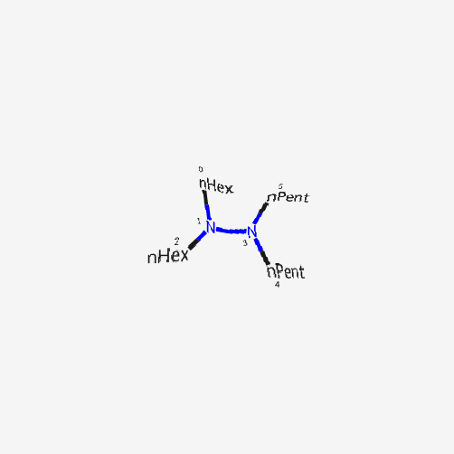 CCCCCCN(CCCCCC)N(CCCCC)CCCCC